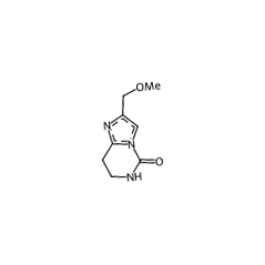 COCc1cn2c(n1)CCNC2=O